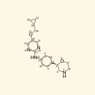 c1cc([C@@H]2CNCCO2)ccc1Nc1ncc(OCC2CC2)cn1